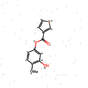 COc1ccc(OC(=O)c2ccsc2)cc1O